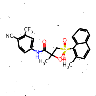 Cc1ccc2ccccc2c1S(=O)(=O)CC(C)(O)C(=O)Nc1ccc(C#N)c(C(F)(F)F)c1